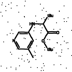 Cc1cncc(NC(C(=O)OC(C)(C)C)C(C)(C)C)c1